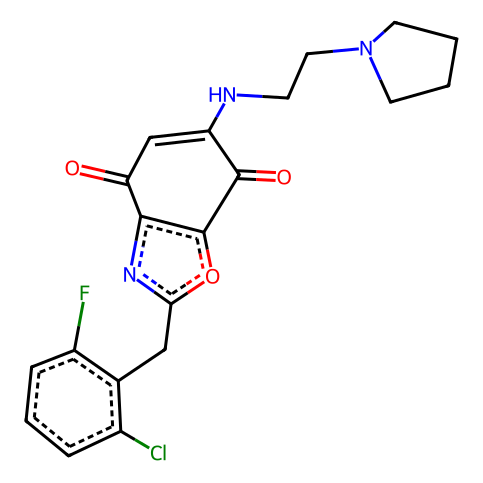 O=C1C=C(NCCN2CCCC2)C(=O)c2oc(Cc3c(F)cccc3Cl)nc21